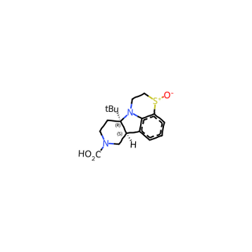 CC(C)(C)[C@@]12CCN(C(=O)O)C[C@@H]1c1cccc3c1N2CC[S+]3[O-]